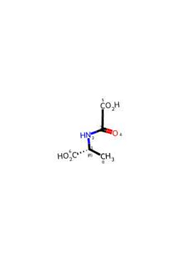 C[C@@H](NC(=O)C(=O)O)C(=O)O